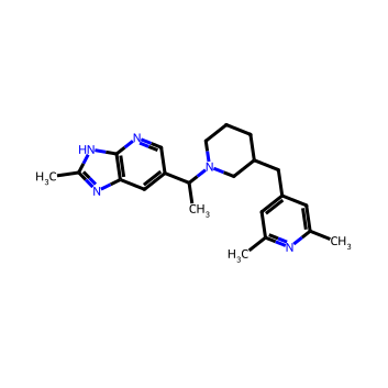 Cc1cc(CC2CCCN(C(C)c3cnc4[nH]c(C)nc4c3)C2)cc(C)n1